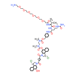 CC(C)[C@H](NC(=O)CCOCCOCCOCCOCCOCCOCCN)C(=O)NC(CCCNC(N)=O)C(=O)Nc1ccc(COC(=O)N(C)CCN(C)C(=O)Oc2cc3c(c4ccccc24)[C@H](CCl)CN3C(=O)C23CC(C(=O)N4C[C@@H](CCl)c5c4cc(O)c4ccccc54)(C2)C3)cc1